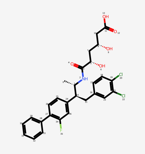 C[C@H](NC(=O)[C@@H](O)C[C@@H](O)CC(=O)O)[C@@H](Cc1ccc(Cl)c(Cl)c1)c1ccc(-c2ccccc2)c(F)c1